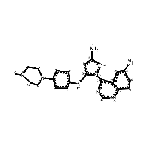 CN1CCN(c2ccc(Nc3nc(N)nn3-c3ncnc4ccc(Cl)cc34)cc2)CC1